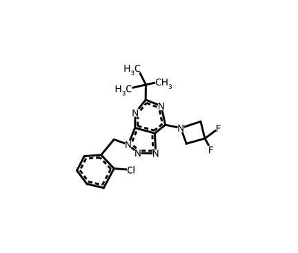 CC(C)(C)c1nc(N2CC(F)(F)C2)c2nnn(Cc3ccccc3Cl)c2n1